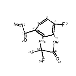 CNC(=O)c1ccc(F)cc1.O=C(O)C(F)(F)F